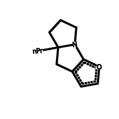 CCCC12CCCN1c1occc1C2